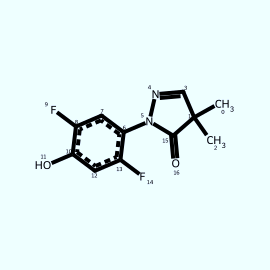 CC1(C)C=NN(c2cc(F)c(O)cc2F)C1=O